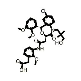 COc1cccc([C@H]2O[C@H](CC(=O)Nc3cccc(CC(=O)O)c3OC)C(=O)N(CC(C)(C)CO)c3ccc(Cl)cc32)c1OC